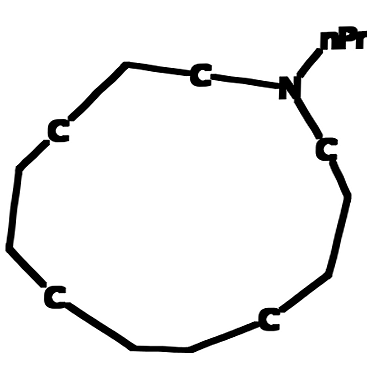 [CH2]CCN1CCCCCCCCCCCC1